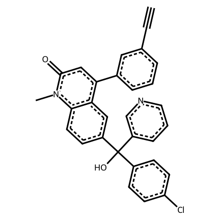 C#Cc1cccc(-c2cc(=O)n(C)c3ccc(C(O)(c4ccc(Cl)cc4)c4cccnc4)cc23)c1